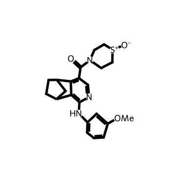 COc1cccc(Nc2ncc(C(=O)N3CC[S+]([O-])CC3)c3c2C2CCC3C2)c1